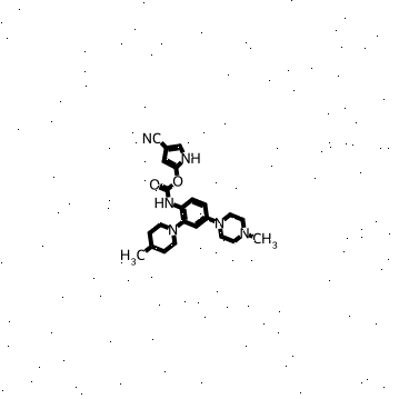 CC1CCN(c2cc(N3CCN(C)CC3)ccc2NC(=O)Oc2cc(C#N)c[nH]2)CC1